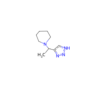 C[C](c1c[nH]nn1)N1CCCCC1